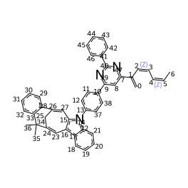 C=C(/C=C\C=C/C)c1cc(-c2ccc(-n3c4c(c5ccccc53)C=C3CC(=C4)c4ccccc4C3(C)C)cc2)nc(-c2ccccc2)n1